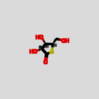 O=C1S[C@@H](CO)[C@@H](O)[C@H]1O